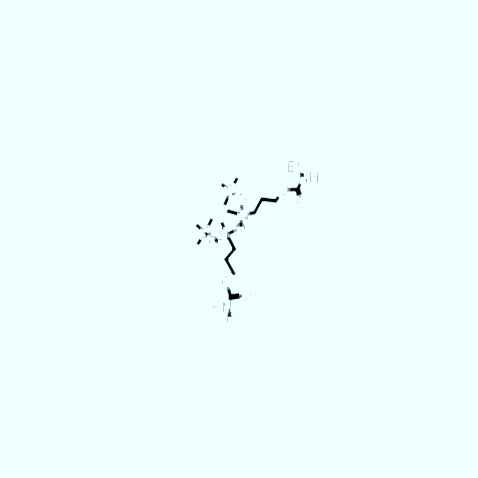 CCNC(=O)OCCC[Si](C)(O[Si](C)(C)C)O[Si](C)(CCCOC(=O)NCC)O[Si](C)(C)C